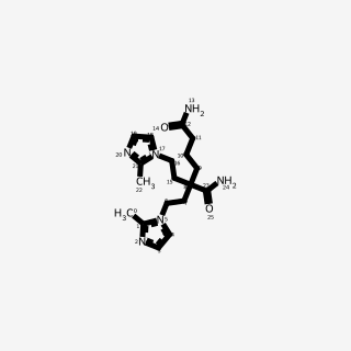 Cc1nccn1CCC(CCCC(N)=O)(CCn1ccnc1C)C(N)=O